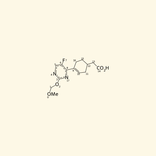 COCOc1ncc(F)c(C2=CCC(CC(=O)O)CC2)n1